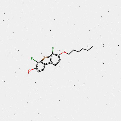 CCCCCCOc1ccc2c(sc3c(F)c(OC)ccc32)c1F